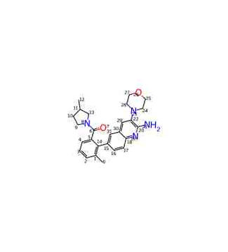 Cc1cccc(C(=O)N2CCC(C)C2)c1-c1ccc2nc(N)c(N3CCOCC3)cc2c1